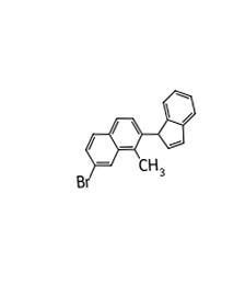 Cc1c(C2C=Cc3ccccc32)ccc2ccc(Br)cc12